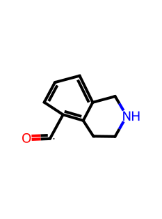 O=[C]c1cccc2c1CCNC2